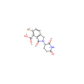 O=C1CCC(N2Cc3ccc(Br)c(C(=O)O)c3C2=O)C(=O)N1